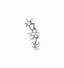 Cc1nc(N[C@H](C)c2cccc(C(F)(F)C(C)(C)O)c2F)c2cc3c(cc2n1)C(=O)N(C)C3(C)C